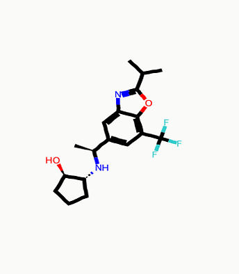 CC(C)c1nc2cc([C@H](C)N[C@@H]3CCC[C@H]3O)cc(C(F)(F)F)c2o1